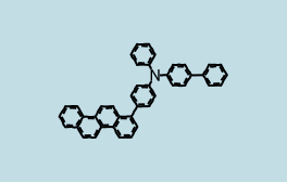 c1ccc(-c2ccc(N(c3ccccc3)c3ccc(-c4cccc5c4ccc4c6ccccc6ccc54)cc3)cc2)cc1